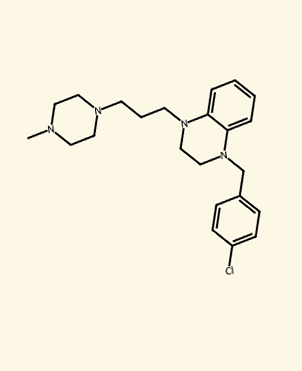 CN1CCN(CCCN2CCN(Cc3ccc(Cl)cc3)c3ccccc32)CC1